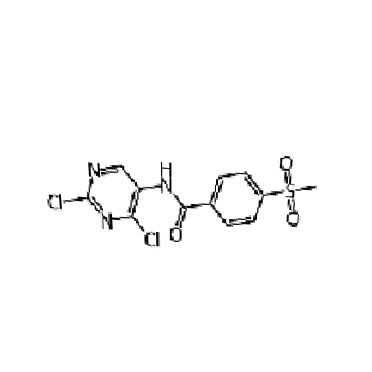 CS(=O)(=O)c1ccc(C(=O)Nc2cnc(Cl)nc2Cl)cc1